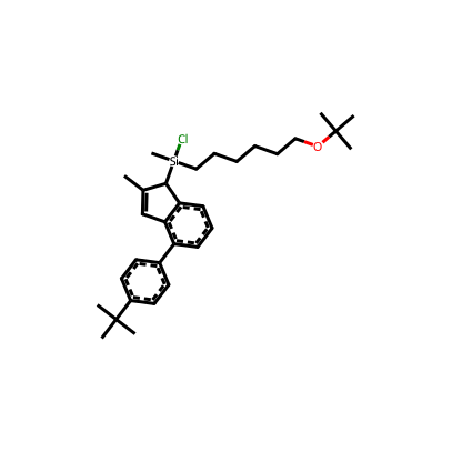 CC1=Cc2c(-c3ccc(C(C)(C)C)cc3)cccc2C1[Si](C)(Cl)CCCCCCOC(C)(C)C